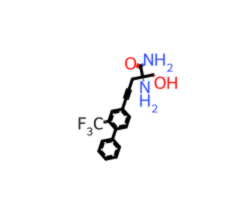 NC(=O)[C@@](N)(CO)CC#Cc1ccc(-c2ccccc2)c(C(F)(F)F)c1